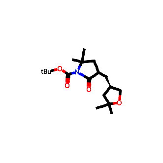 CC(C)(C)OC(=O)N1C(=O)C(C[C@H]2COC(C)(C)C2)CC1(C)C